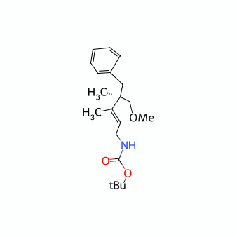 COC[C@](C)(Cc1ccccc1)/C(C)=C/CNC(=O)OC(C)(C)C